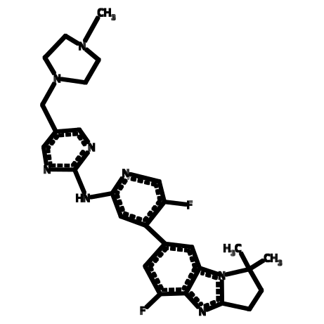 CN1CCN(Cc2cnc(Nc3cc(-c4cc(F)c5nc6n(c5c4)C(C)(C)CC6)c(F)cn3)nc2)CC1